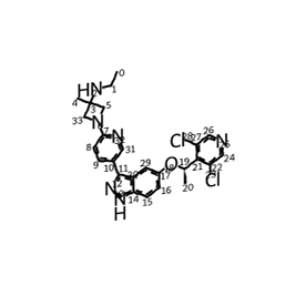 CCNC1(C)CN(c2ccc(-c3n[nH]c4ccc(O[C@H](C)c5c(Cl)cncc5Cl)cc34)cn2)C1